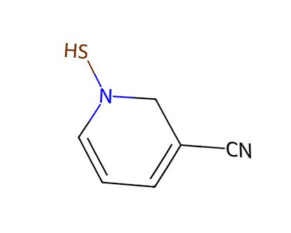 N#CC1=CC=CN(S)C1